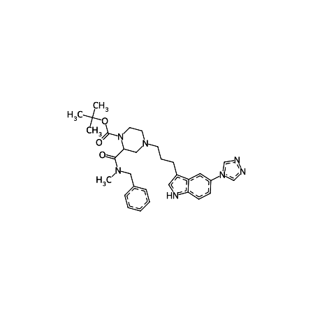 CN(Cc1ccccc1)C(=O)C1CN(CCCc2c[nH]c3ccc(-n4cnnc4)cc23)CCN1C(=O)OC(C)(C)C